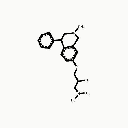 CN(C)CC(O)COc1ccc2c(c1)CN(C)CC2c1ccccc1